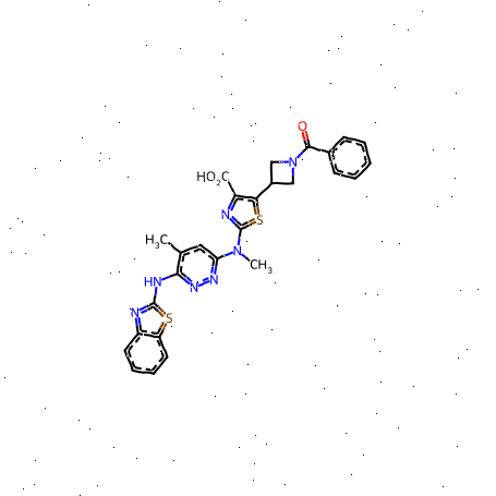 Cc1cc(N(C)c2nc(C(=O)O)c(C3CN(C(=O)c4ccccc4)C3)s2)nnc1Nc1nc2ccccc2s1